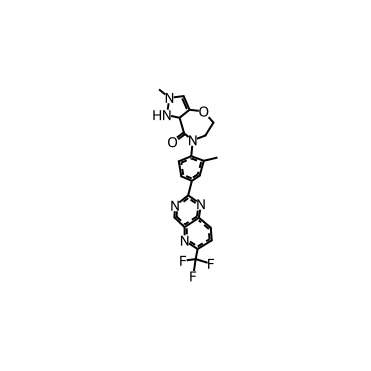 Cc1cc(-c2ncc3nc(C(F)(F)F)ccc3n2)ccc1N1CCOC2=CN(C)NC2C1=O